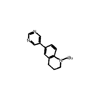 CCC(C)N1CCCc2cc(-c3cncnc3)ccc21